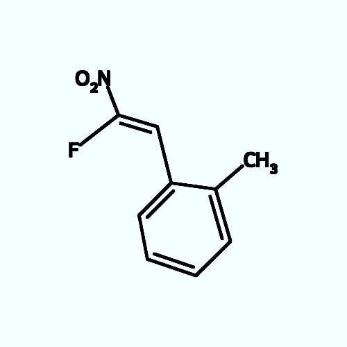 Cc1ccccc1C=C(F)[N+](=O)[O-]